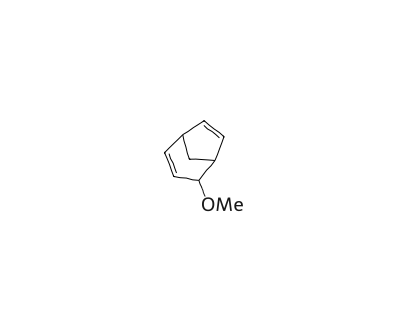 COC1C=CC2C=CC1C2